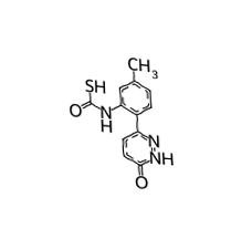 Cc1ccc(-c2ccc(=O)[nH]n2)c(NC(=O)S)c1